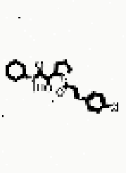 O=C(NC1CCCCC1)C(O)C1CCCN1C(=O)C=Cc1ccc(Cl)cc1